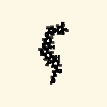 COC/C=C/C(=O)N1CCC(Nc2cc3c(Nc4ccc(Oc5ccn(-c6cnc(C)c(F)c6)n5)cc4F)ncnc3cc2OC)CC1